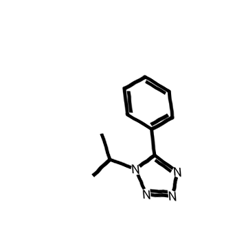 CC(C)n1nnnc1-c1ccccc1